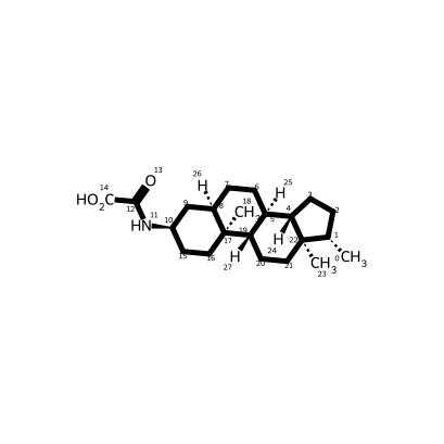 C[C@H]1CC[C@H]2[C@@H]3CC[C@@H]4C[C@H](NC(=O)C(=O)O)CC[C@]4(C)[C@H]3CC[C@]12C